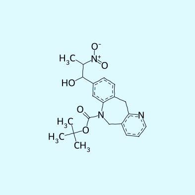 CC(C(O)c1ccc2c(c1)N(C(=O)OC(C)(C)C)Cc1cccnc1C2)[N+](=O)[O-]